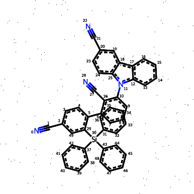 N#Cc1ccc(-c2cccc(-n3c4ccccc4c4cc(C#N)ccc43)c2C#N)c([Si](c2ccccc2)(c2ccccc2)c2ccccc2)c1